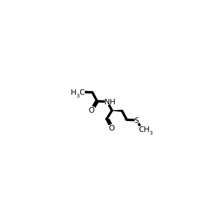 CCC(=O)N[C@H](C=O)C[CH]SC